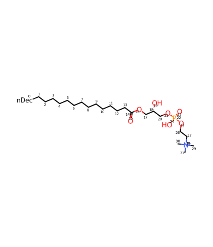 CCCCCCCCCCCCCCCCCCCCCCCC(=O)OC[C@H](O)COP(=O)(O)OCC[N+](C)(C)C